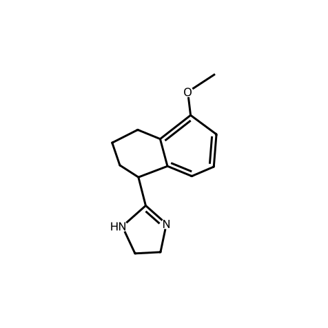 COc1cccc2c1CCCC2C1=NCCN1